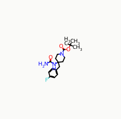 CC(C)(C)OC(=O)N1CCC(Cc2ccc(F)cc2)(NC(N)=O)CC1